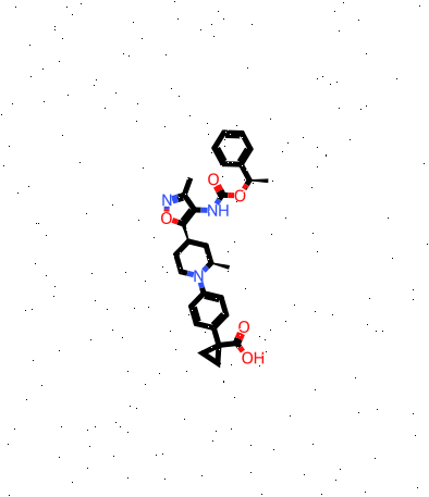 Cc1noc([C@@H]2CCN(c3ccc(C4(C(=O)O)CC4)cc3)[C@H](C)C2)c1NC(=O)O[C@H](C)c1ccccc1